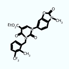 CCOC(=O)c1cn(-c2ccc3c(c2)oc(=O)n3C)c(=O)n(Cc2cccc(C(F)(F)F)c2C)c1=O